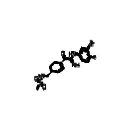 CS(=O)(=O)NC[C@H]1CC[C@H](C(=O)C(=N)Nc2ccc(F)c(Br)c2)CC1